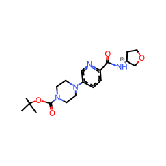 CC(C)(C)OC(=O)N1CCN(c2ccc(C(=O)N[C@@H]3CCOC3)nc2)CC1